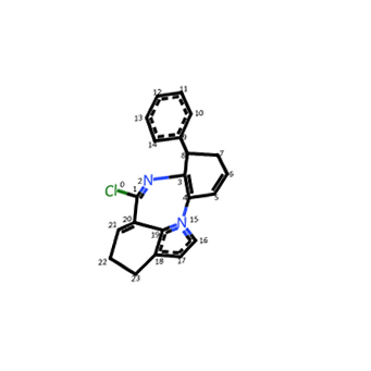 ClC1=NC2=C(C=CCC2c2ccccc2)n2ccc3c2C1=CCC3